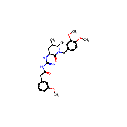 CCC(C)CC(NC(=N)NC(=O)Cc1cccc(OC)c1)C(=O)NCc1ccc(OC)c(OC)c1